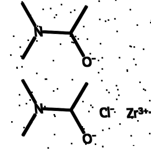 CC([O-])N(C)C.CC([O-])N(C)C.[Cl-].[Zr+3]